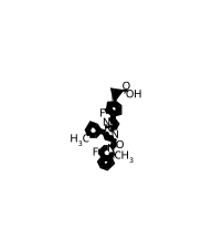 CC1CCCC(c2cc(C(=O)N3CC(F)c4ccccc4[C@H]3C)nc3cc(-c4ccc([C@H]5C[C@@H]5C(=O)O)cc4F)nn23)C1